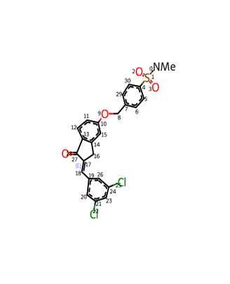 CNS(=O)(=O)c1ccc(COc2ccc3c(c2)C/C(=C\c2cc(Cl)cc(Cl)c2)C3=O)cc1